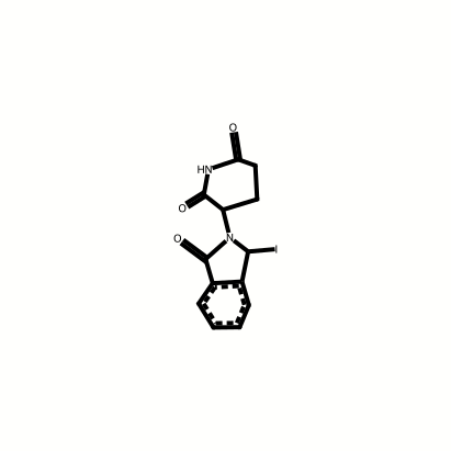 O=C1CCC(N2C(=O)c3ccccc3C2I)C(=O)N1